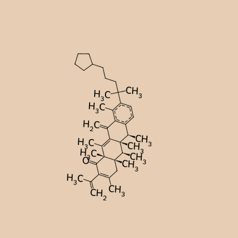 C=C(C)C1=C(C)C[C@@]2(C)[C@H](C)[C@]3(C)C(=C(C)[C@@]2(C)C1=O)C(=C)c1c(ccc(C(C)(C)CCCC2CCCC2)c1C)[C@H]3C